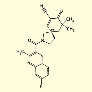 Cc1nc2cc(F)ccc2cc1C(=O)N1CC[C@]2(C=C(C#N)C(=O)C(C)(C)C2)C1